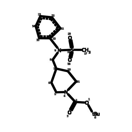 CC(C)(C)OC(=O)N1CCC(CN(c2ccccc2)S(C)(=O)=O)CC1